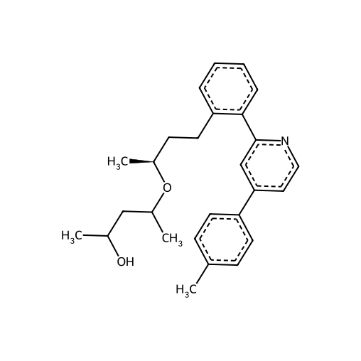 Cc1ccc(-c2ccnc(-c3ccccc3CC[C@H](C)OC(C)CC(C)O)c2)cc1